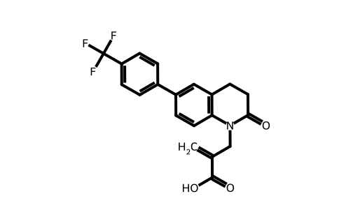 C=C(CN1C(=O)CCc2cc(-c3ccc(C(F)(F)F)cc3)ccc21)C(=O)O